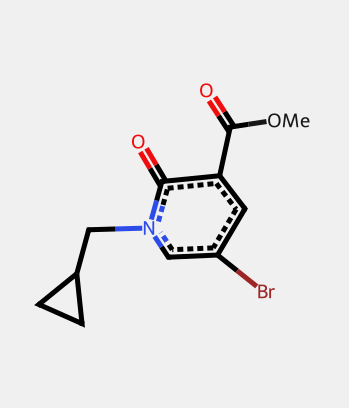 COC(=O)c1cc(Br)cn(CC2CC2)c1=O